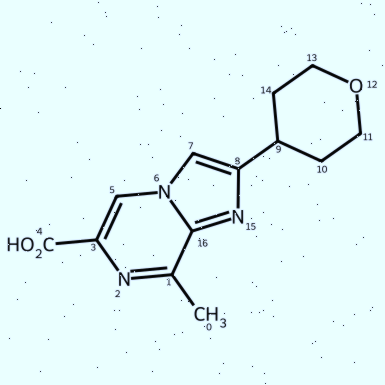 Cc1nc(C(=O)O)cn2cc(C3CCOCC3)nc12